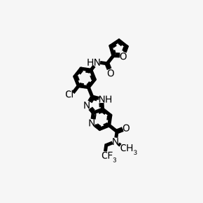 CN(CC(F)(F)F)C(=O)c1cnc2nc(-c3cc(NC(=O)c4ccco4)ccc3Cl)[nH]c2c1